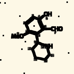 COc1ccc(O)c(C=O)c1C1CCCCN1